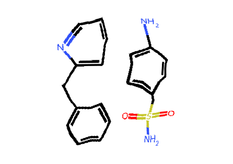 Nc1ccc(S(N)(=O)=O)cc1.c1ccc(Cc2ccccn2)cc1